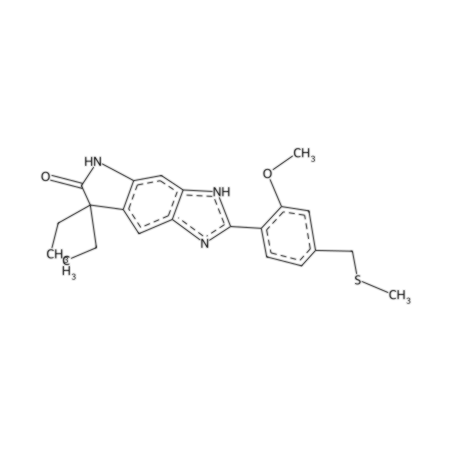 CCC1(CC)C(=O)Nc2cc3[nH]c(-c4ccc(CSC)cc4OC)nc3cc21